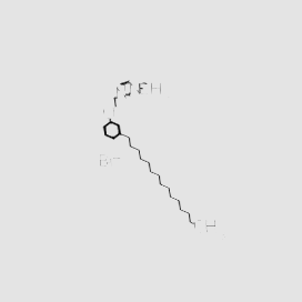 CCCCCCCCCCCCCCCc1cccc(OCCn2cc[n+](C)c2)c1.[Br-]